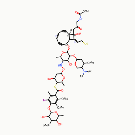 CCN(C(C)=O)C1COC(OC2C(O[C@H]3C#C/C=C\C#C[C@H]4C3/C(=C/CS)[C@@]4(O)CC(=O)CNC(=O)OC)OC(C)C(NOC3CC(O)C(SC(=O)c4c(C)c(I)c(OC5OC(C)C(O)C(OC)C5O)c(OC)c4OC)C(C)O3)C2O)CC1OC